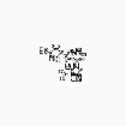 CCc1ccc(-c2cc3c(N4C[C@@H](C)[C@@](C#N)(C5CC5)C4=O)ccnn3c2)cn1